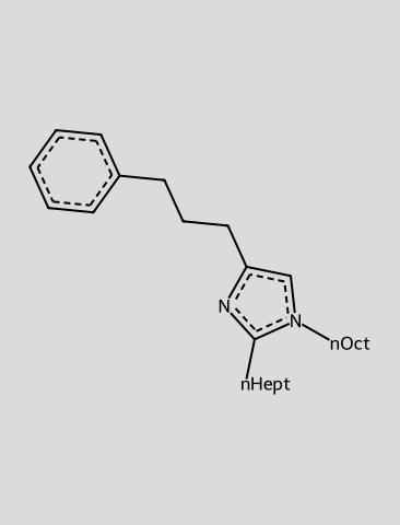 CCCCCCCCn1cc(CCCc2ccccc2)nc1CCCCCCC